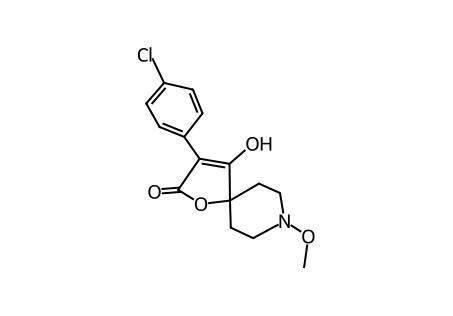 CON1CCC2(CC1)OC(=O)C(c1ccc(Cl)cc1)=C2O